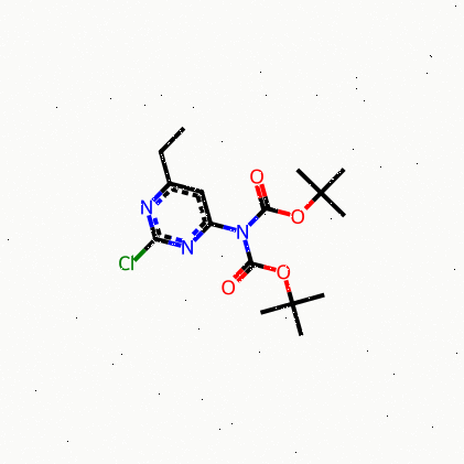 CCc1cc(N(C(=O)OC(C)(C)C)C(=O)OC(C)(C)C)nc(Cl)n1